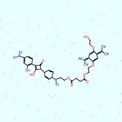 CCN(CC)c1ccc(C2=C(O)C(C3C=CC(N(CC)CCOC(=O)CCC(=O)OCCOc4cc(=C(C#N)C#N)c(OCCO)cc4=C(C#N)C#N)C=C3)C2=O)c(O)c1